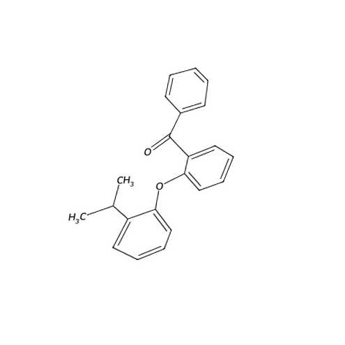 CC(C)c1ccccc1Oc1ccccc1C(=O)c1ccccc1